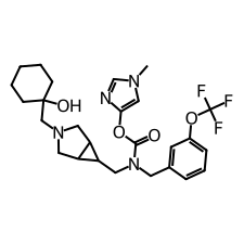 Cn1cnc(OC(=O)N(Cc2cccc(OC(F)(F)F)c2)CC2C3CN(CC4(O)CCCCC4)CC32)c1